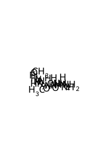 CCc1cc(Nc2nccn3c(-c4ccc(OC)c(F)c4F)cnc23)ccc1C(=O)NCC(O)CNC(=O)[C@@H](N)CCCNC(=N)N